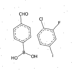 Fc1cc(I)ccc1Cl.O=Cc1ccc(B(O)O)cc1